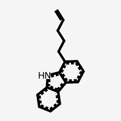 C=CCCCc1cccc2c1[nH]c1ccccc12